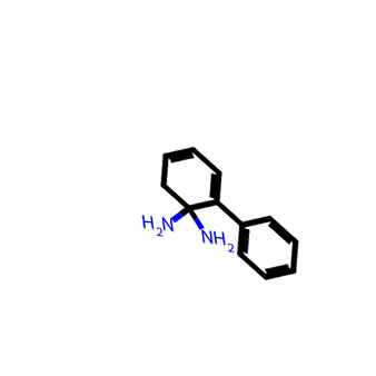 NC1(N)CC=CC=C1c1ccccc1